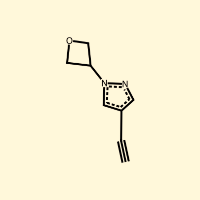 C#Cc1cnn(C2COC2)c1